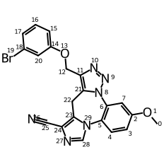 COc1ccc2c(c1)-n1nnc(COc3cccc(Br)c3)c1Cc1c(C#N)ncn1-2